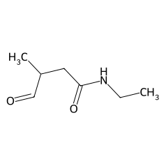 CCNC(=O)CC(C)C=O